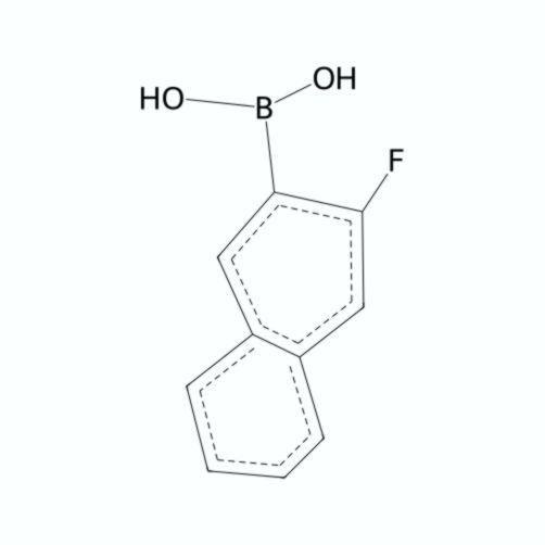 OB(O)c1cc2ccccc2cc1F